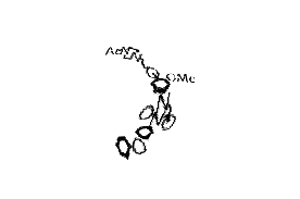 COc1cc(N2CC(=O)N(c3ccc(Oc4ccccc4)cc3)C2=O)ccc1OCCN1CCN(C(C)=O)CC1